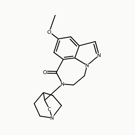 COc1cc2c3c(cnn3CCN(C3CN4CCC3CC4)C2=O)c1